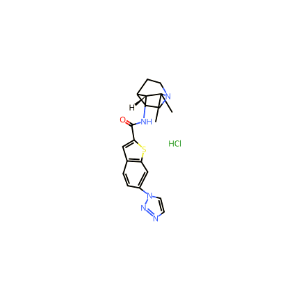 CC1(C)[C@H](NC(=O)c2cc3ccc(-n4ccnn4)cc3s2)C2CCN1CC2.Cl